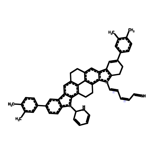 Cc1ccc(C2=Cc3c(n(/C=C/C=C\C=N)c4c5c6c(cc34)CCc3cc4c7cc(-c8ccc(C)c(C)c8)ccc7n(C7C=CC=CN7)c4c(c3-6)CC5)CC2)cc1C